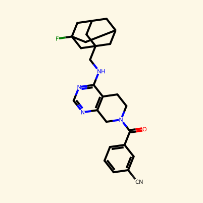 N#Cc1cccc(C(=O)N2CCc3c(ncnc3NCC34CC5CC(CC(F)(C5)C3)C4)C2)c1